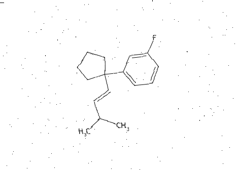 CC(C)/C=C/C1(c2cccc(F)c2)CCCC1